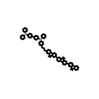 CC1(C)c2ccccc2-c2ccc(-c3ccc4c(c3)C(C)(C)c3cc(-c5ccc6c(c5)C(C)(C)c5cc(CCCc7ccc(N(c8ccccc8)c8ccc(-c9ccc(N(c%10ccccc%10)c%10ccccc%10)cc9)cc8)cc7)ccc5-6)ccc3-4)cc21